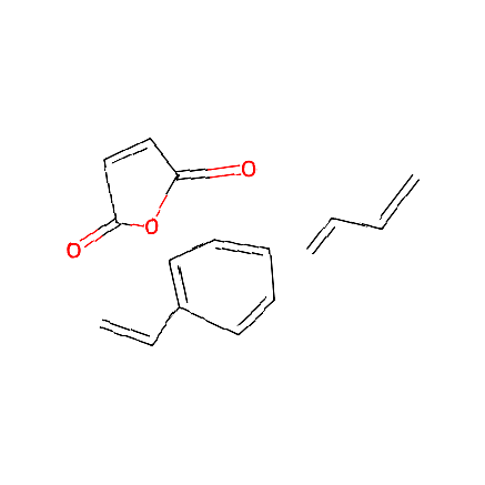 C=CC=C.C=Cc1ccccc1.O=C1C=CC(=O)O1